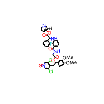 COc1ccc(C(Cc2c(Cl)c[n+]([O-])cc2Cl)OC(=O)CNC(=O)c2cccc(NC(C(=O)O[C@H]3CN4CCC3CC4)c3ccccc3F)c2)cc1OC